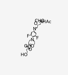 CC(=O)NC[C@@H](/C=N/c1cc(F)c(N2CCON(S(=O)(=O)CCO)CC2)c(F)c1)OC=O